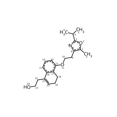 Cc1oc(C(C)C)nc1CCOc1cccc2c1CCC=C2CCO